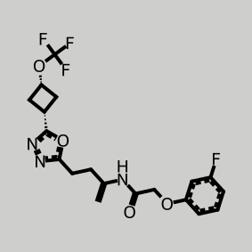 C=C(CCc1nnc([C@H]2C[C@@H](OC(F)(F)F)C2)o1)NC(=O)COc1cccc(F)c1